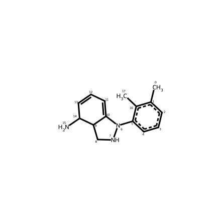 Cc1cccc(N2NCC3C2=CC=CC3N)c1C